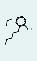 CCC.CCCCCc1ccccc1O